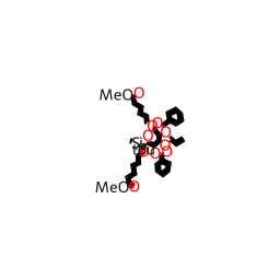 C=CCO[C@H]1[C@@H](OC(=O)c2ccccc2)[C@@H](C(OCCCCCC(=O)OC)[Si](C)(C)C(C)(C)C)O[C@H](OCCCCCC(=O)OC)[C@@H]1OC(=O)c1ccccc1